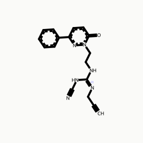 C#CC/N=C(\NC#N)NCCn1nc(-c2ccccc2)ccc1=O